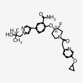 CC(C)(O)Cn1cc(-c2ccc(O[C@@H]3CCN(C(=O)Cc4ccc(OC5CC5)cn4)C[C@@H]3F)c(C(N)=O)c2)cn1